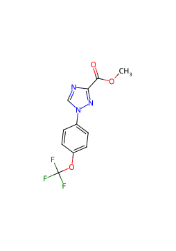 COC(=O)c1ncn(-c2ccc(OC(F)(F)F)cc2)n1